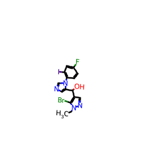 CCn1ncc(C(O)c2cncn2-c2ccc(F)cc2I)c1Br